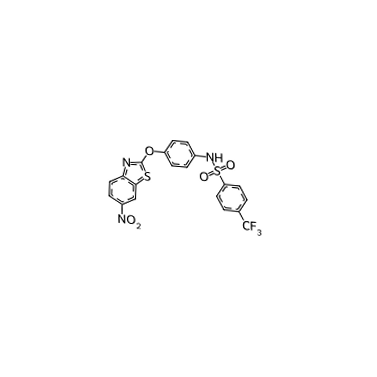 O=[N+]([O-])c1ccc2nc(Oc3ccc(NS(=O)(=O)c4ccc(C(F)(F)F)cc4)cc3)sc2c1